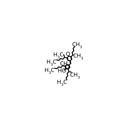 CCCCCC(C)C1=CC(=Cc2cc(C(C)CCCCC)c(O)c(C(CC)CCCCC)c2)C=C(C(CC)CCCCC)C1=O